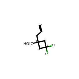 C=CCC1(C(=O)O)CC(F)(F)C1